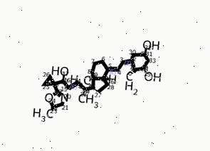 C=C1/C(=C\C=C2/CCC[C@]3(C)[C@@H]([C@H](C)/C=C/[C@H](O)C4(C5=NCC(C)O5)CC4)CC[C@@H]23)C[C@@H](O)C[C@@H]1O